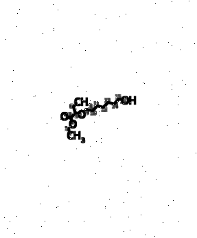 CCOC(=O)C(CC)OCCCCCCCO